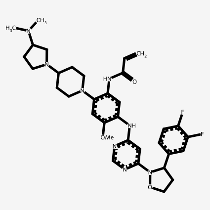 C=CC(=O)Nc1cc(Nc2cc(N3OCCC3c3ccc(F)c(F)c3)ncn2)c(OC)cc1N1CCC(N2CCC(N(C)C)C2)CC1